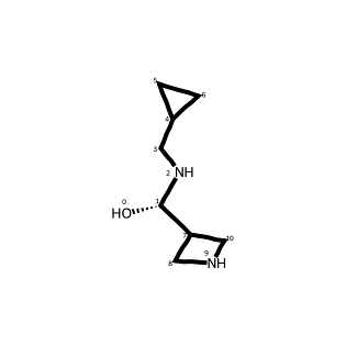 O[C@H](NCC1CC1)C1CNC1